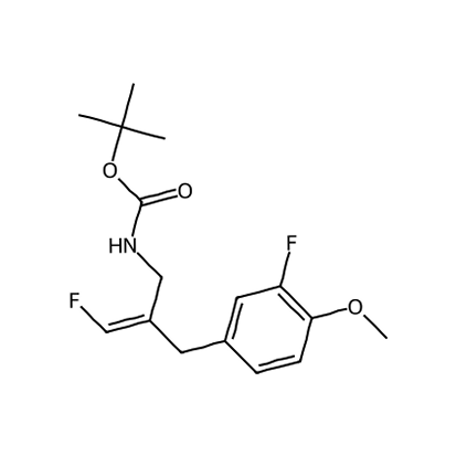 COc1ccc(C/C(=C/F)CNC(=O)OC(C)(C)C)cc1F